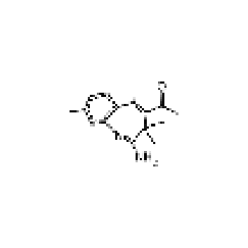 CC(=O)C1=C(C)c2ccc(C)cc2N=C(N)C1(C)C